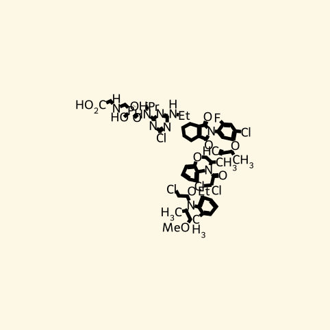 C#CC(C)Oc1cc(N2C(=O)C3=C(CCCC3)C2=O)c(F)cc1Cl.CC1COc2ccccc2N1C(=O)C(Cl)Cl.CCNc1nc(Cl)nc(NC(C)C)n1.CCc1cccc(C)c1N(C(=O)CCl)C(C)COC.O=C(O)CNCP(=O)(O)O